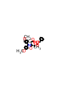 COc1ccc(C(c2ccc(OC)cc2)N2C(=O)[C@H](C(C)OC(=O)OCc3ccccc3)[C@H]2C(C)C(=O)O)cc1